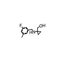 Cc1cc(F)cc(CNC2(CO)CC2)c1